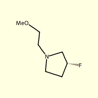 COCCN1CC[C@@H](F)C1